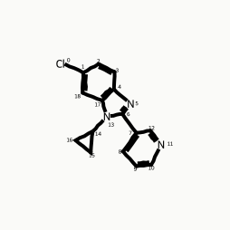 Clc1ccc2nc(-c3cccnc3)n(C3CC3)c2c1